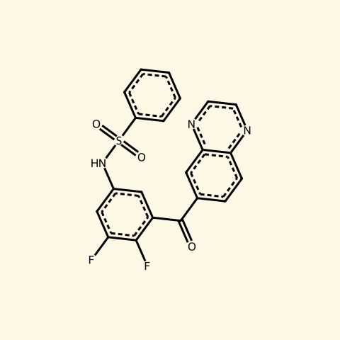 O=C(c1ccc2nccnc2c1)c1cc(NS(=O)(=O)c2ccccc2)cc(F)c1F